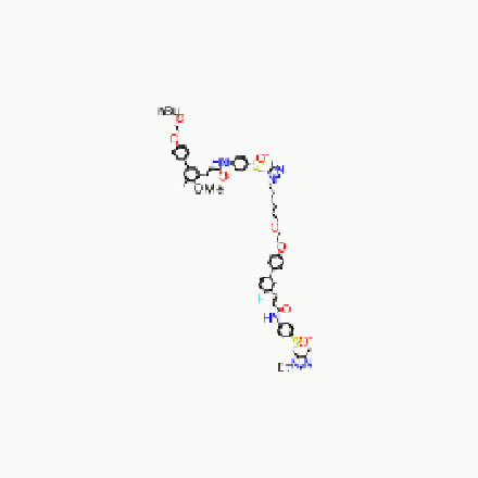 CCCCOCCOc1ccc(-c2cc(C)c(OC)c(/C=C/C(=O)Nc3ccc([S+]([O-])Cc4c(C)ncn4CCCCCCOCCOc4ccc(-c5ccc(F)c(/C=C/C(=O)Nc6ccc([S+]([O-])Cc7c(C)ncn7CC)cc6)c5)cc4)cc3)c2)cc1